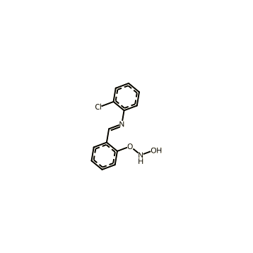 ONOc1ccccc1/C=N/c1ccccc1Cl